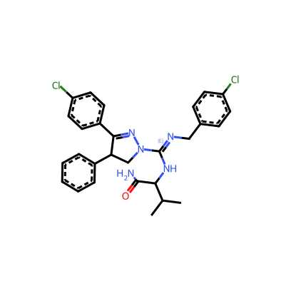 CC(C)C(N/C(=N\Cc1ccc(Cl)cc1)N1CC(c2ccccc2)C(c2ccc(Cl)cc2)=N1)C(N)=O